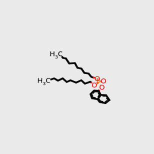 CCCCCCCCCCOP(=O)(OCCCCCCCCCC)Oc1cccc2ccccc12